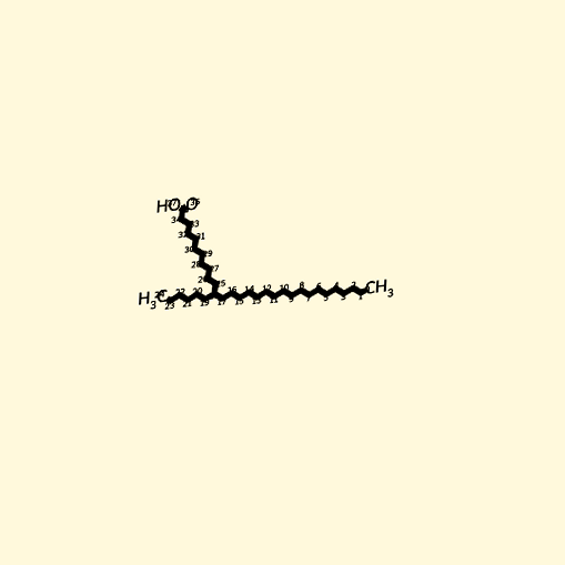 CCCCCCCCCCCCCCCCCCC(CCCCCC)CCCCCCCCCCC(=O)O